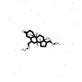 COCC1C[C@@H]2[C@@H](CC[C@]3(C)C(COC)CC[C@@H]23)[C@@]2(C)CCC(=O)CC12